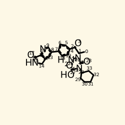 CC(C(=O)c1ccc(-c2cnc3c(c2)CNC3=O)cc1)N(N)C(=O)N(C(=O)O)C1CCCCC1